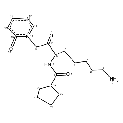 NCCCCC[C@H](NC(=O)C1CCCC1)C(=O)Cn1cnccc1=O